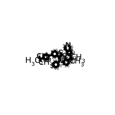 CC(C)(C)c1ccc(-c2ccc3sc4c(c3c2)N(c2ccccc2)c2cccc3c2B4c2c(sc4cnccc24)C3(C)C)cc1